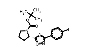 CC(C)(C)OC(=O)N1CCC[C@H]1c1nc(-c2ccc(I)cc2)no1